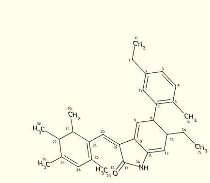 CCc1ccc(C)c(C2C=C3C(=CC2CC)NC(=O)/C3=C\C2=C(C)C=C(C)C(C)C2C)c1